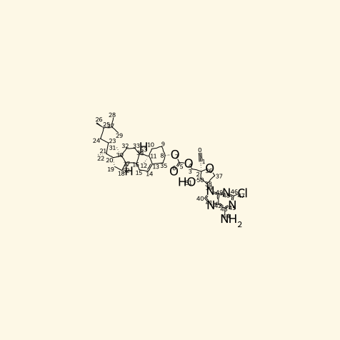 C#C[C@]1(COC(=O)O[C@H]2CC[C@@]3(C)C(=CCC4[C@@H]5CC[C@H]([C@H](C)CC[C@@H](C)C(C)C)[C@@]5(C)CC[C@@H]43)C2)OCC(n2cnc3c(N)nc(Cl)nc32)[C@@H]1O